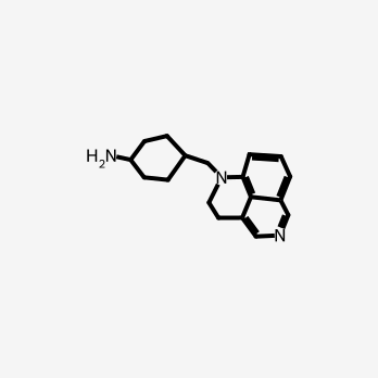 NC1CCC(CN2CCc3cncc4cccc2c34)CC1